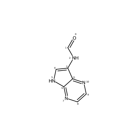 O=CNc1c[nH]c2nccnc12